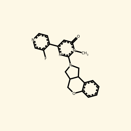 Cn1c(N2CC3COc4ccccc4C3C2)nc(-c2ccncc2F)cc1=O